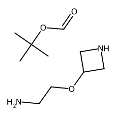 CC(C)(C)OC=O.NCCOC1CNC1